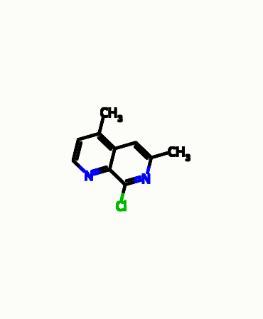 Cc1cc2c(C)ccnc2c(Cl)n1